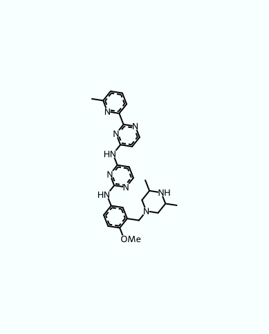 COc1ccc(Nc2nccc(Nc3ccnc(-c4cccc(C)n4)n3)n2)cc1CN1CC(C)NC(C)C1